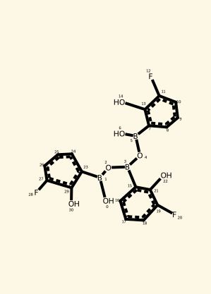 OB(OB(OB(O)c1cccc(F)c1O)c1cccc(F)c1O)c1cccc(F)c1O